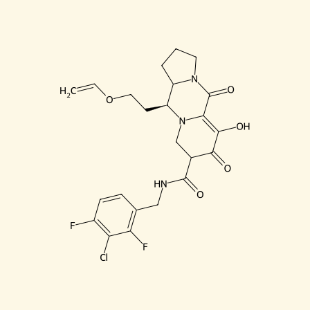 C=COCC[C@H]1C2CCCN2C(=O)C2=C(O)C(=O)C(C(=O)NCc3ccc(F)c(Cl)c3F)CN21